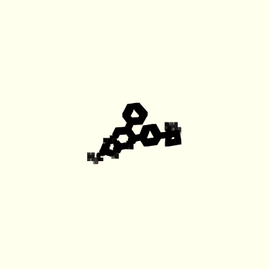 Cc1nc2nc(-c3ccc(C4(N)CCC4)cc3)c(-c3ccccc3)cn2n1